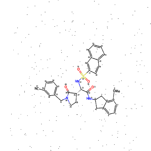 COc1cccc2c1CC(NC(=O)C(NS(=O)(=O)c1ccc3ccccc3c1)[C@@H]1CCN(Cc3cccc(C#N)c3)C1=O)C2